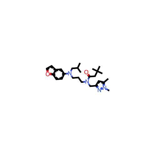 Cc1cc(CN(CCCN(CC(C)C)c2ccc3occc3c2)C(=O)CC(C)(C)C)nn1C